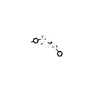 CCn1c(SCC(=O)Nc2nnc(-c3ccc(F)cc3)s2)nnc1-c1ccc(C)cc1